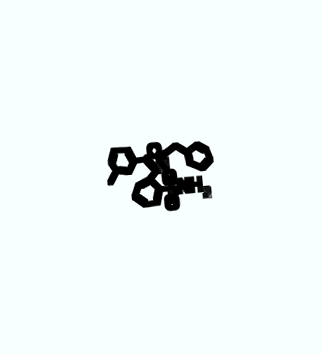 Cc1cccc(-c2oc(Cc3ccccc3)nc2-c2ccccc2S(N)(=O)=O)c1